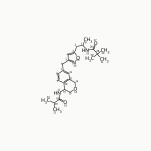 CC(Cc1cc(Cc2ccc3c(c2)COCC3NC(=O)C(C)C)no1)NC(=O)C(C)(C)C